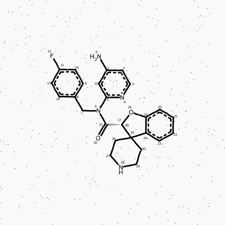 Nc1ccnc(N(Cc2ccc(F)cc2)C(=O)[C@@H]2Oc3ccccc3C23CCNCC3)c1